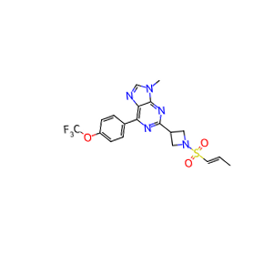 CC=CS(=O)(=O)N1CC(c2nc(-c3ccc(OC(F)(F)F)cc3)c3ncn(C)c3n2)C1